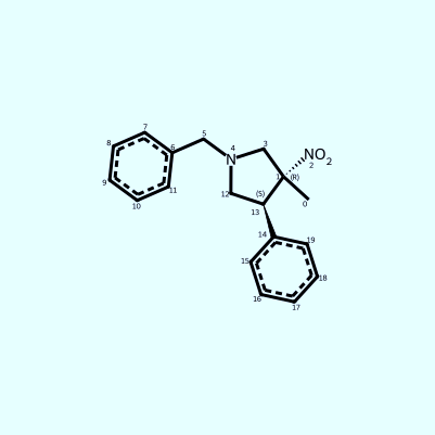 C[C@]1([N+](=O)[O-])CN(Cc2ccccc2)C[C@@H]1c1ccccc1